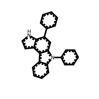 c1ccc(-c2cc3c(c4cc[nH]c24)c2ccccc2n3-c2ccccc2)cc1